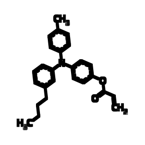 C=CC(=O)Oc1ccc(N(c2ccc(C)cc2)c2cccc(CCCC)c2)cc1